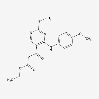 CCOC(=O)CC(=O)c1cnc(SC)nc1Nc1ccc(OC)cc1